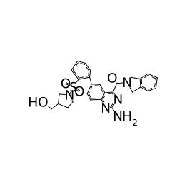 Nc1nc(C(=O)N2Cc3ccccc3C2)c2cc(-c3ccccc3S(=O)(=O)N3CCC(CO)C3)ccc2n1